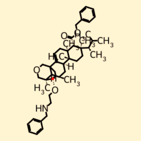 CC(C)[C@@H](C)[C@@]1(C)CC[C@]2(C)[C@H]3CC[C@@H]4C5(COC[C@]4(C)[C@@H](OCCNCc4ccccc4)[C@H](C)C5)C3=CC[C@@]2(C)[C@@H]1C(=O)OCc1ccccc1